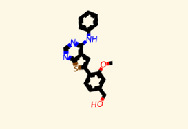 COc1cc(CO)ccc1-c1cc2c(Nc3ccccc3)ncnc2s1